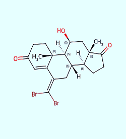 C[C@]12CCC(=O)C=C1C(=C(Br)Br)C[C@@H]1[C@@H]2[C@@H](O)C[C@]2(C)C(=O)CC[C@@H]12